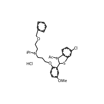 COc1ccc(OCCCN(CCOCc2ccccc2)C(C)C)c(C2Sc3cc(Cl)ccc3N2C(C)=O)c1.Cl